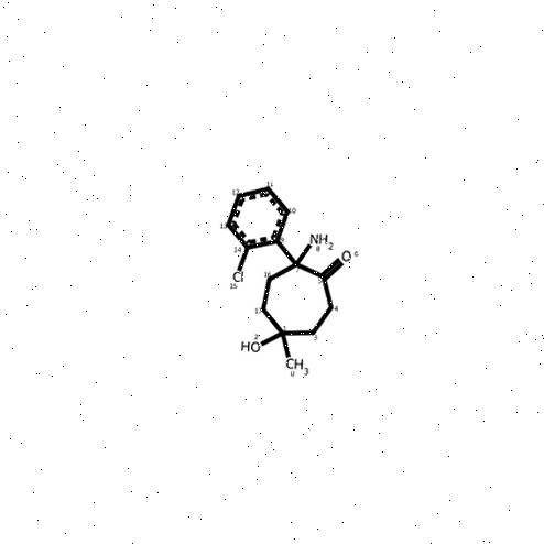 CC1(O)CCC(=O)C(N)(c2ccccc2Cl)CC1